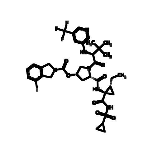 CC[C@@H]1C[C@]1(NC(=O)[C@@H]1C[C@@H](OC(=O)N2Cc3cccc(I)c3C2)CN1C(=O)[C@@H](Nc1cncc(C(F)(F)F)c1)C(C)(C)C)C(=O)NS(=O)(=O)C1CC1